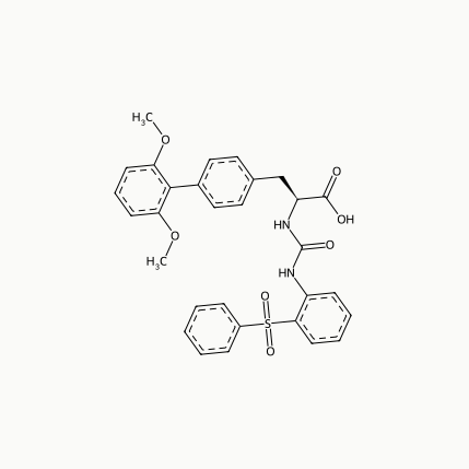 COc1cccc(OC)c1-c1ccc(C[C@H](NC(=O)Nc2ccccc2S(=O)(=O)c2ccccc2)C(=O)O)cc1